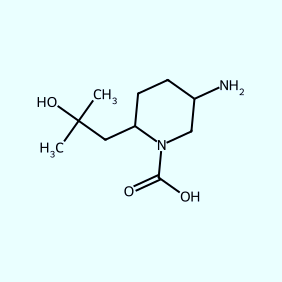 CC(C)(O)CC1CCC(N)CN1C(=O)O